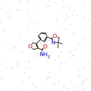 CC1(C)COC(c2cccc(C3=C(C(N)=O)COC3)c2)=N1